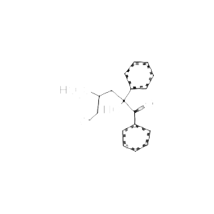 O=C(O)C(CCl)CC(O)(C(=O)c1ccccc1)c1ccccc1